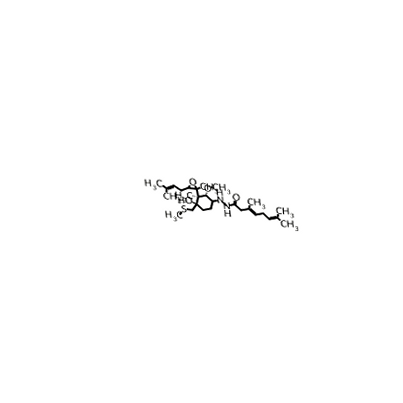 CO[C@@H]1C(NNC(=O)C/C(C)=C/CC=C(C)C)CC[C@](O)(CSC)[C@@]1(C)C1(C)OC1CC=C(C)C